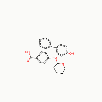 O=C(O)c1ccc(OC2CCCCO2)cc1.Oc1ccc(-c2ccccc2)cc1